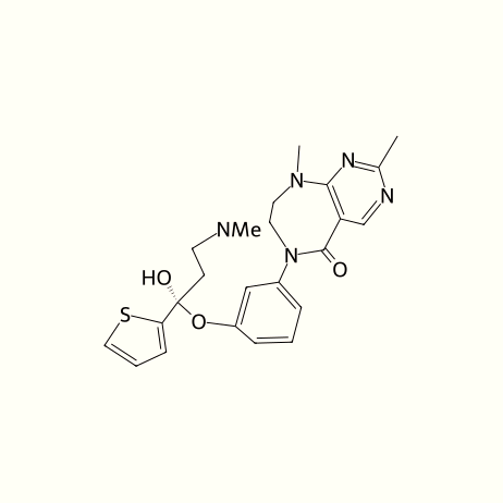 CNCC[C@@](O)(Oc1cccc(N2CCN(C)c3nc(C)ncc3C2=O)c1)c1cccs1